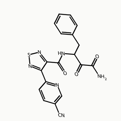 N#Cc1ccc(-c2nsnc2C(=O)NC(Cc2ccccc2)C(=O)C(N)=O)nc1